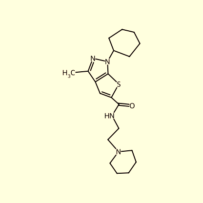 Cc1nn(C2CCCCC2)c2sc(C(=O)NCCN3CCCCC3)cc12